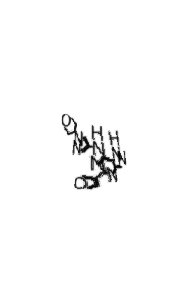 c1cc(-c2nc(Nc3cnn(C4CCOCC4)c3)c3[nH]ncc3n2)co1